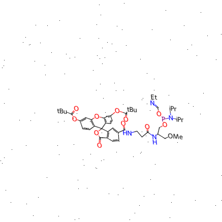 CC/N=C/OP(OCC(COC)NC(=O)CCNC(=O)c1ccc2c(c1)C1(OC2=O)c2ccc(OC(=O)C(C)(C)C)cc2Oc2cc(OC(=O)C(C)(C)C)ccc21)N(C(C)C)C(C)C